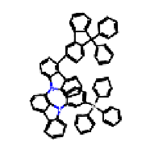 c1ccc(C2(c3ccccc3)c3ccccc3-c3cc(-c4cccc5c4c4ccccc4n5-c4cccc5c6ccccc6n(-c6cccc([Si](c7ccccc7)(c7ccccc7)c7ccccc7)c6)c45)ccc32)cc1